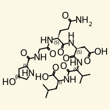 CC(C)C[C@H](NC(=O)[C@@H](NC(=O)[C@H](CC(=O)O)NC(=O)[C@H](CCC(N)=O)NC(=O)CNC(=O)[C@@H]1C[C@@H](O)CN1)C(C)C)C(=O)O